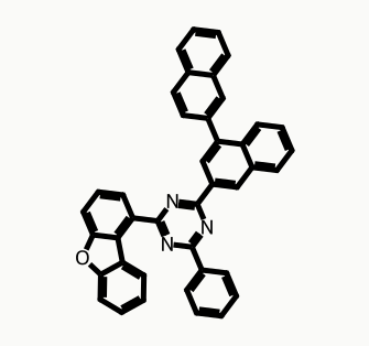 c1ccc(-c2nc(-c3cc(-c4ccc5ccccc5c4)c4ccccc4c3)nc(-c3cccc4oc5ccccc5c34)n2)cc1